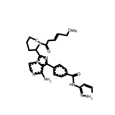 C/C=C\C(=N/N)NC(=O)c1ccc(-c2nc(C3CCCCN3C(=O)C/C=C/COC)n3ccnc(N)c23)cc1